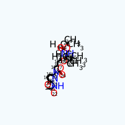 CC(C)(C)OC(=O)NCC(CC1CN(c2ccc3c(n2)NC(=O)CO3)C(=O)O1)O[Si](C)(C)C(C)(C)C